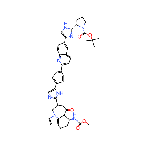 COC(=O)N[C@H]1CCc2ccn3c2C1C(=O)C[C@H](c1ncc(-c2ccc(-c4ccc5cc(-c6c[nH]c([C@@H]7CCCN7C(=O)OC(C)(C)C)n6)ccc5n4)cc2)[nH]1)C3